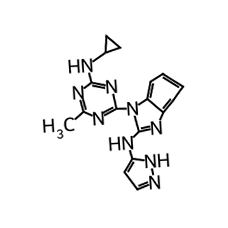 Cc1nc(NC2CC2)nc(-n2c(Nc3ccn[nH]3)nc3ccccc32)n1